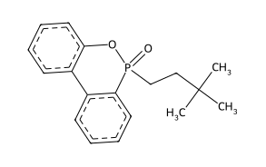 CC(C)(C)CCP1(=O)Oc2ccccc2-c2ccccc21